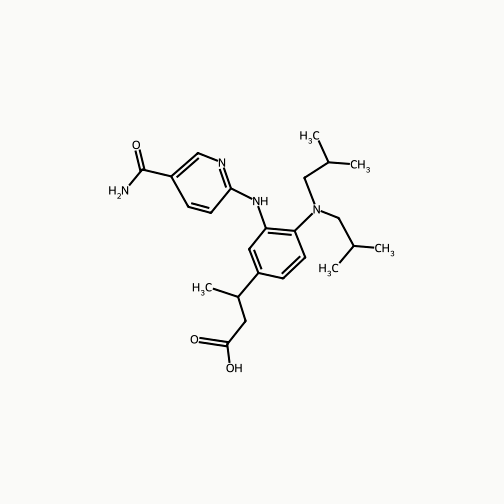 CC(C)CN(CC(C)C)c1ccc(C(C)CC(=O)O)cc1Nc1ccc(C(N)=O)cn1